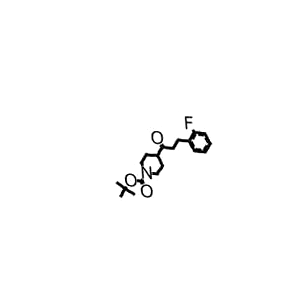 CC(C)(C)OC(=O)N1CCC(C(=O)CCc2ccccc2F)CC1